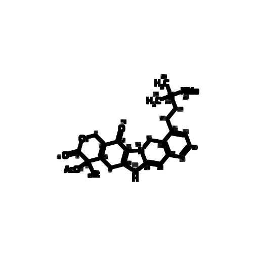 CCC1(OC(C)=O)C(=O)OCC2=C1CC1=C(C2=O)N2Cc3c(cccc3CC[Si](C)(C)NC)C=C2N1